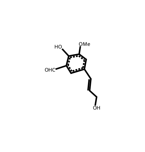 COc1cc(/C=C/CO)cc(C=O)c1O